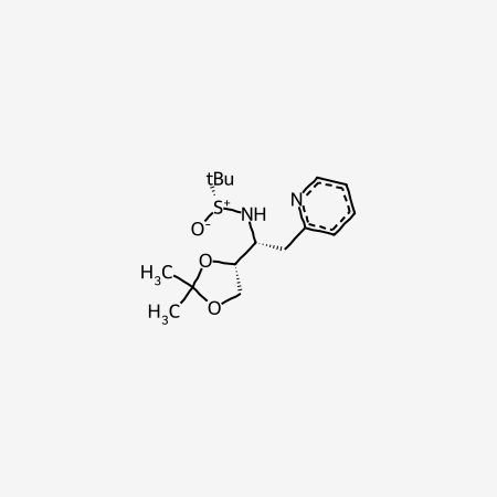 CC1(C)OC[C@@H]([C@@H](Cc2ccccn2)N[S@+]([O-])C(C)(C)C)O1